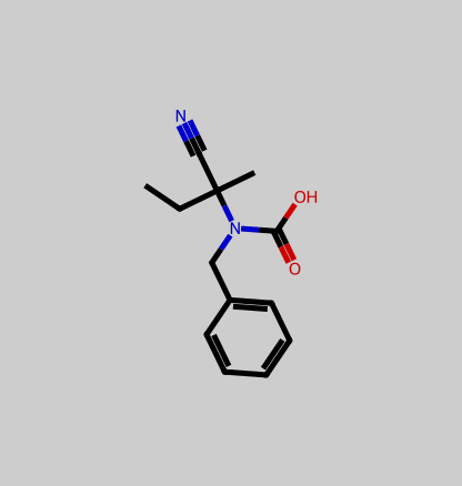 CCC(C)(C#N)N(Cc1ccccc1)C(=O)O